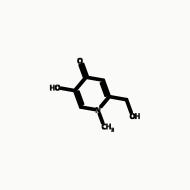 Cn1cc(O)c(=O)cc1CO